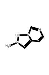 NN1C=C2C=CN=CN2N1